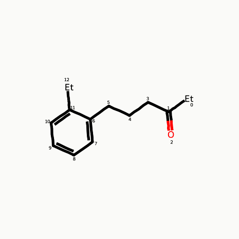 CCC(=O)CCCc1ccccc1CC